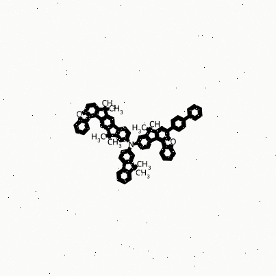 CC1(C)c2ccccc2-c2ccc(N(c3ccc4c(c3)C(C)(C)c3cc5c(cc3-4)C(C)(C)c3ccc4oc6ccccc6c4c3-5)c3ccc4c(c3)C(C)(C)c3cc(-c5ccc(-c6ccccc6)cc5)c5oc6ccccc6c5c3-4)cc21